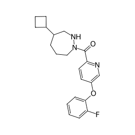 O=C(c1ccc(Oc2ccccc2F)cn1)N1CCCC(C2CCC2)CN1